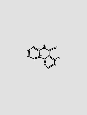 Cc1cccc2c1c(=O)[nH]c1ccccc12